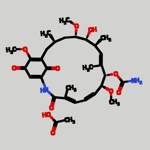 CC(=O)O.COC1=C2C[C@@H](C)C[C@H](OC)[C@H](O)[C@@H](C)/C=C(\C)[C@H](OC(N)=O)[C@@H](OC)/C=C\C=C(/C)C(=O)NC(=CC1=O)C2=O